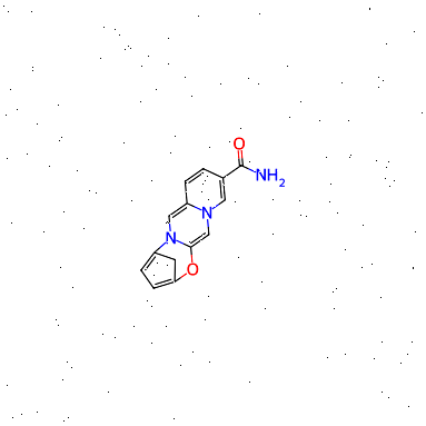 NC(=O)C1=CN2C=C3OC4=CC=C(C4)N3C=C2C=C1